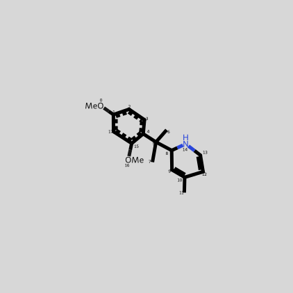 COc1ccc(C(C)(C)C2C=C(C)C=CN2)c(OC)c1